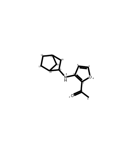 CC(=O)c1occc1NC1CC2CCC1C2